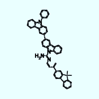 C=C(/C=C\N=C(/N)n1c2ccccc2c2cc(-c3ccc4c(c3)c3ccccc3n4-c3ccccc3)ccc21)c1ccc2c(c1)C(C)(C)c1ccccc1-2